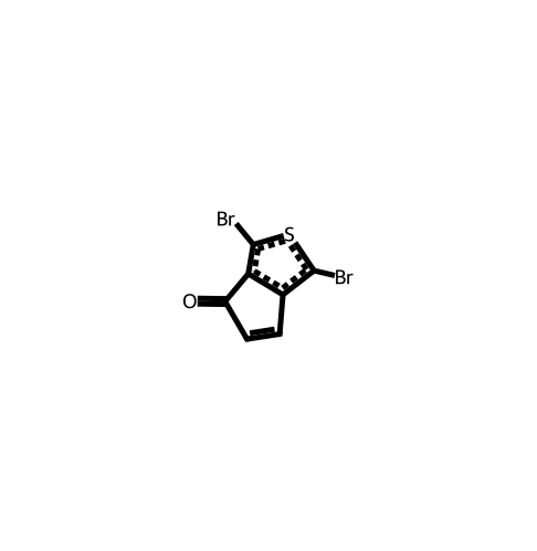 O=C1C=Cc2c(Br)sc(Br)c21